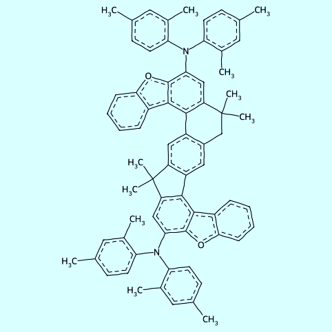 Cc1ccc(N(c2ccc(C)cc2C)c2cc3c(c4c2oc2ccccc24)-c2cc4c(cc2CC3(C)C)-c2c(cc(N(c3ccc(C)cc3C)c3ccc(C)cc3C)c3oc5ccccc5c23)C4(C)C)c(C)c1